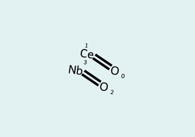 [O]=[Ce].[O]=[Nb]